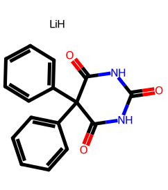 O=C1NC(=O)C(c2ccccc2)(c2ccccc2)C(=O)N1.[LiH]